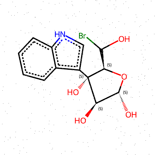 OC(Br)[C@H]1O[C@H](O)[C@@H](O)[C@@]1(O)c1c[nH]c2ccccc12